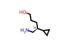 NC[C@@H](CCCO)C1CC1